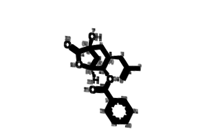 C=C(C)C[C@@H]1C[C@]2(O)C[C@H](OC2=O)[C@@H]1OC(=O)c1ccccc1